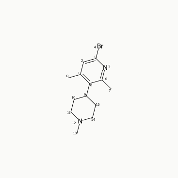 Cc1cc(Br)nc(C)c1C1CCN(C)CC1